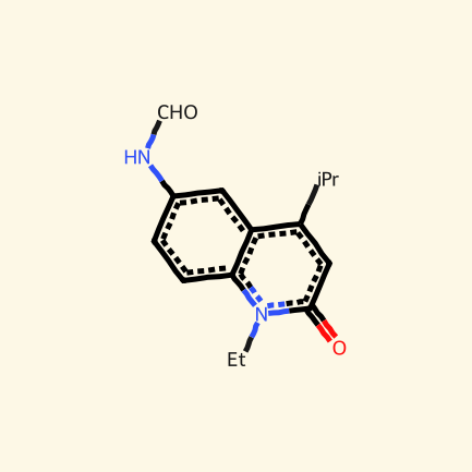 CCn1c(=O)cc(C(C)C)c2cc(NC=O)ccc21